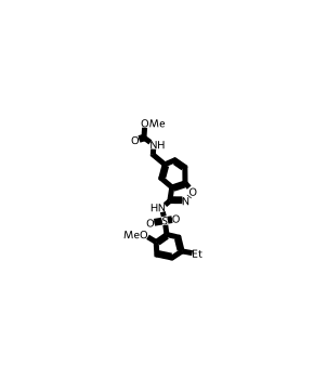 CCc1ccc(OC)c(S(=O)(=O)Nc2noc3ccc(CNC(=O)OC)cc23)c1